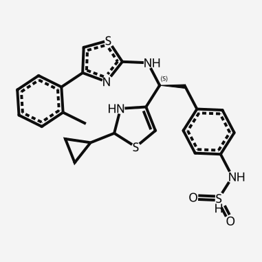 Cc1ccccc1-c1csc(N[C@@H](Cc2ccc(N[SH](=O)=O)cc2)C2=CSC(C3CC3)N2)n1